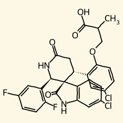 CC(COc1ccc(Cl)cc1[C@H]1CC(=O)N[C@H](c2cc(F)ccc2F)[C@]12C(=O)Nc1cc(Cl)ccc12)C(=O)O